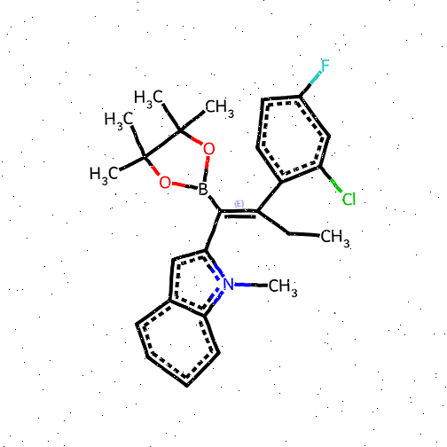 CC/C(=C(/B1OC(C)(C)C(C)(C)O1)c1cc2ccccc2n1C)c1ccc(F)cc1Cl